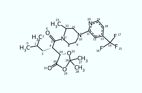 CC(C)C[C@H](C(=O)N1CCN(c2cc(C(F)(F)F)ccn2)CC1C)[C@@H]1OC(C)(C)OC1=O